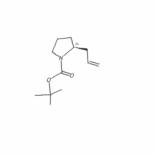 C=CC[C@@H]1CCCN1C(=O)OC(C)(C)C